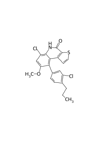 CCCc1ccc(-c2c(OC)cc(Cl)c3[nH]c(=O)c4sccc4c23)cc1Cl